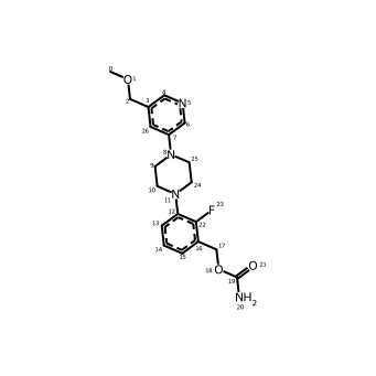 COCc1cncc(N2CCN(c3cccc(COC(N)=O)c3F)CC2)c1